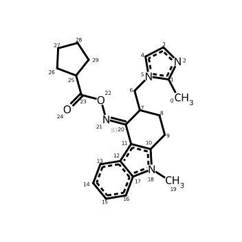 Cc1nccn1CC1CCc2c(c3ccccc3n2C)/C1=N/OC(=O)C1CCCC1